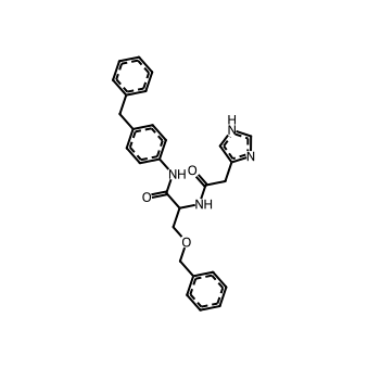 O=C(Cc1c[nH]cn1)NC(COCc1ccccc1)C(=O)Nc1ccc(Cc2ccccc2)cc1